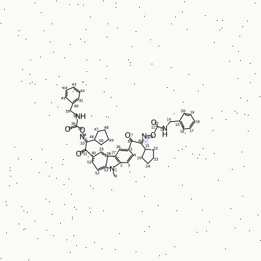 Cn1c2ccc(C(=O)/C(=N/OC(=O)NCc3ccccc3)C3CCCC3)cc2c2cc(C(=O)/C(=N/OC(=O)NCc3ccccc3)C3CCCC3)ccc21